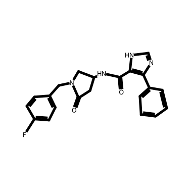 O=C(NC1CC(=O)N(Cc2ccc(F)cc2)C1)c1[nH]cnc1-c1ccccc1